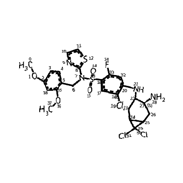 COc1ccc(CN(c2nccs2)S(=O)(=O)c2cc(Cl)c(NC3CC4C(C[C@@H]3N)C4(Cl)Cl)cc2F)c(OC)c1